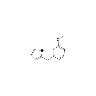 COc1cccc(Cc2ccc[nH]2)c1